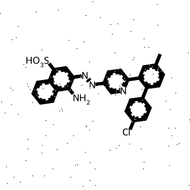 Cc1ccc(-c2ccc(Cl)cc2)c(-c2ccc(N=Nc3cc(S(=O)(=O)O)c4ccccc4c3N)cn2)c1